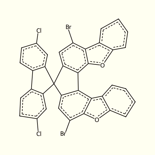 Clc1ccc2c(c1)C1(c3cc(Cl)ccc3-2)c2cc(Br)c3c(oc4ccccc43)c2-c2c1cc(Br)c1oc3ccccc3c21